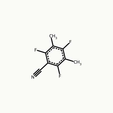 Cc1c(F)c(C)c(F)c(C#N)c1F